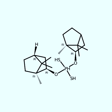 CC1(C)C2CC[C@]1(C)[C@H](O[PH](S)(S)O[C@@H]1C[C@H]3CC[C@@]1(C)C3(C)C)C2